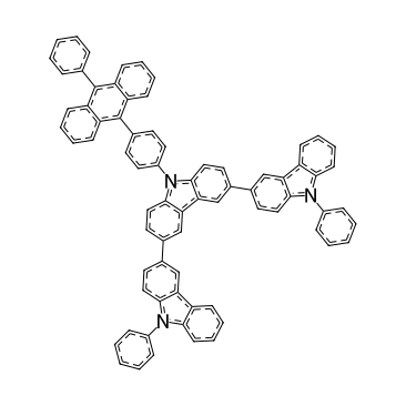 c1ccc(-c2c3ccccc3c(-c3ccc(-n4c5ccc(-c6ccc7c(c6)c6ccccc6n7-c6ccccc6)cc5c5cc(-c6ccc7c(c6)c6ccccc6n7-c6ccccc6)ccc54)cc3)c3ccccc23)cc1